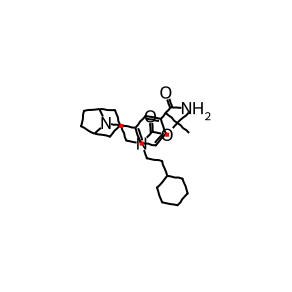 CC(C)(C)OC(=O)N(CCC1CCCCC1)CCN1C2CCC1CC(c1cccc(C(N)=O)c1)C2